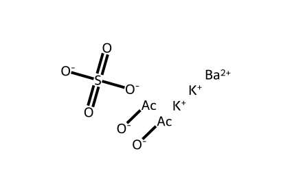 CC(=O)[O-].CC(=O)[O-].O=S(=O)([O-])[O-].[Ba+2].[K+].[K+]